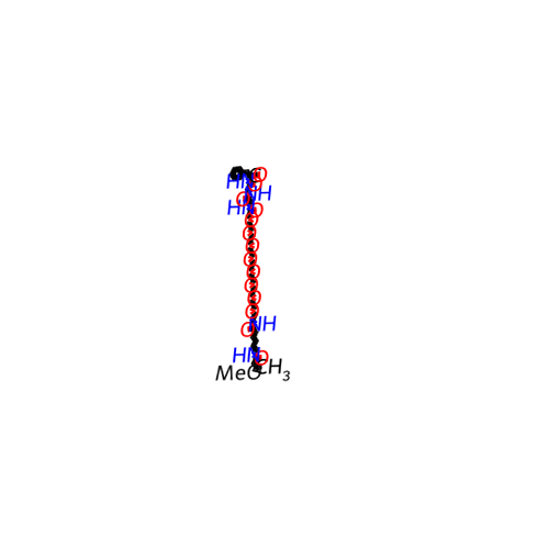 COC(C)CC(=O)NCCCCCC(=O)NCCOCCOCCOCCOCCOCCOCCOCCOCC(=O)NCC(=O)NCC(=O)NC(=C=O)Cc1ccccc1